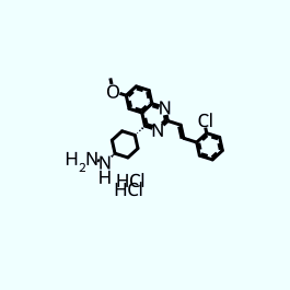 COc1ccc2nc(C=Cc3ccccc3Cl)nc([C@H]3CC[C@@H](NN)CC3)c2c1.Cl.Cl